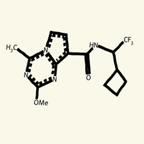 COc1nc(C)n2ccc(C(=O)NC(C3CCC3)C(F)(F)F)c2n1